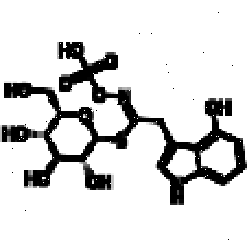 O=S(=O)(O)ON=C(Cc1c[nH]c2cccc(O)c12)S[C@@H]1O[C@H](CO)[C@@H](O)[C@H](O)[C@H]1O